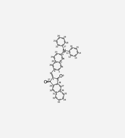 O=C1C(=Cc2ccc3cc(N(c4ccccc4)c4ccccc4)ccc3c2)C(=O)c2cc3ccccc3cc21